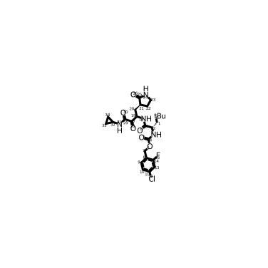 CC(C)(C)C[C@H](NC(=O)OCc1ccc(Cl)cc1F)C(=O)NC(C[C@@H]1CCNC1=O)C(=O)C(=O)NC1CC1